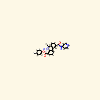 Cc1ccc(OC(=O)c2cccc(-c3cc(C(=O)Nc4ccncc4)ccc3C(C)N)c2)cc1